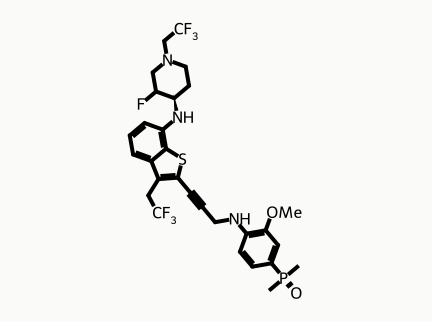 COc1cc(P(C)(C)=O)ccc1NCC#Cc1sc2c(N[C@@H]3CCN(CC(F)(F)F)CC3F)cccc2c1CC(F)(F)F